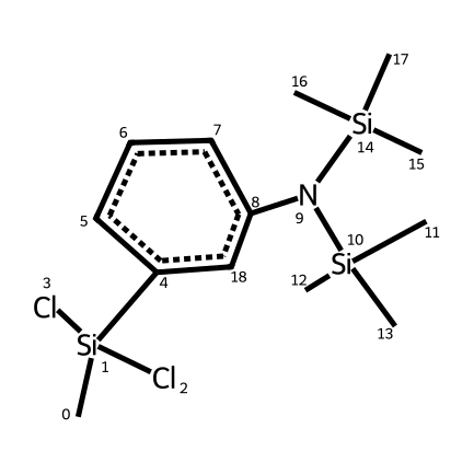 C[Si](Cl)(Cl)c1cccc(N([Si](C)(C)C)[Si](C)(C)C)c1